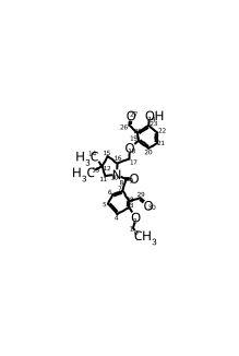 CCOc1cccc(C(=O)N2CC(C)(C)CC2COc2cccc(O)c2C=O)c1C=O